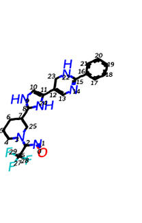 O=NC(N1CCCC(C2NC=C(C3=CN=C(c4ccccc4)NC3)N2)C1)C(F)(F)F